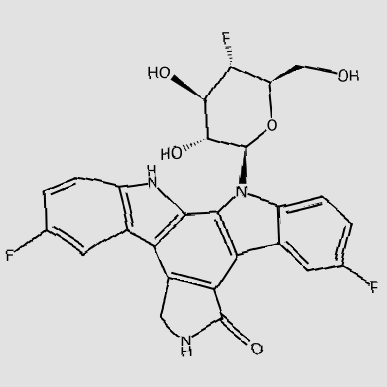 O=C1NCc2c1c1c3cc(F)ccc3n([C@@H]3O[C@H](CO)[C@@H](F)[C@H](O)[C@H]3O)c1c1[nH]c3ccc(F)cc3c21